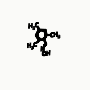 Cc1cc(C)c(C=NO)c(C)c1